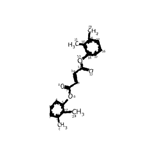 Cc1cccc(OC(=O)C=CC(=O)Oc2cccc(C)c2C)c1C